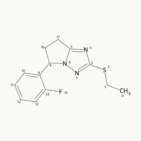 CCSc1nc2n(n1)C(c1ccccc1F)CC2